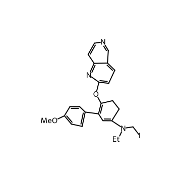 CCN(CI)C1=CC(c2ccc(OC)cc2)=C(Oc2ccc3cnccc3n2)CC1